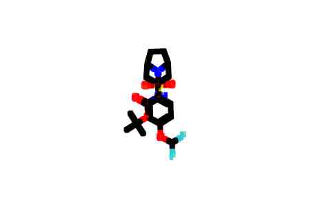 CC(C)(C)OC(=O)NC1CC2CCC(C1)N2S(=O)(=O)c1ccc(OC(F)F)cc1